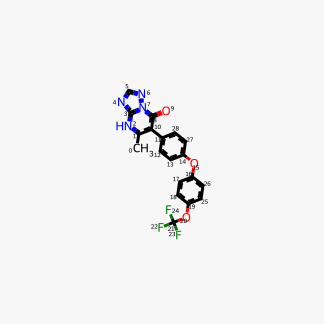 Cc1[nH]c2ncnn2c(=O)c1-c1ccc(Oc2ccc(OC(F)(F)F)cc2)cc1